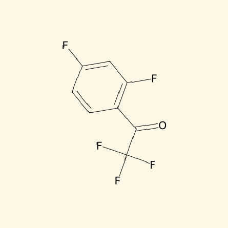 O=C(c1ccc(F)cc1F)C(F)(F)F